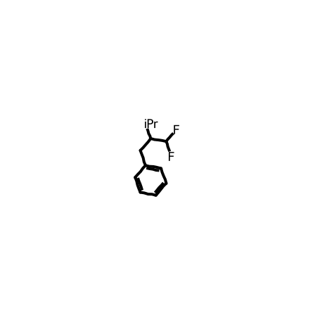 CC(C)C(Cc1ccccc1)C(F)F